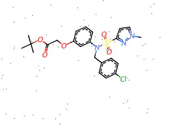 Cn1ccc(S(=O)(=O)N(Cc2ccc(Cl)cc2)c2cccc(OCC(=O)OC(C)(C)C)c2)n1